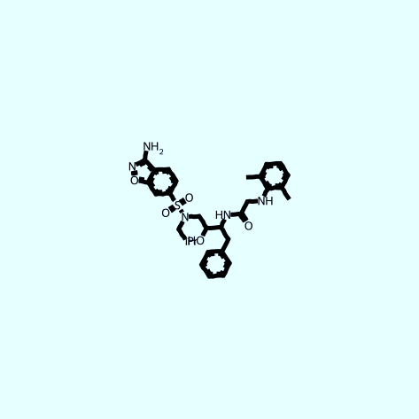 Cc1cccc(C)c1NCC(=O)NC(Cc1ccccc1)C(O)CN(CC(C)C)S(=O)(=O)c1ccc2c(N)noc2c1